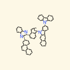 c1ccc2cc3c(cc2c1)c1ccc(-n2c4ccccc4c4ccccc42)cc1n3-c1cccc2c(-c3nc4ccccc4nc3-c3ccc4c(ccc5ccccc54)c3)cccc12